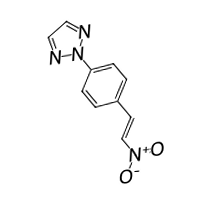 O=[N+]([O-])C=Cc1ccc(-n2nccn2)cc1